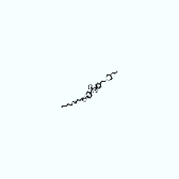 C=CCCCCCCCCOc1ccc(C(=O)Oc2ccc(CC[C@H]3CC[C@H](CCC)CC3)cc2)cc1